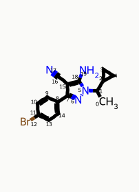 CC(C1CC1)n1nc(-c2ccc(Br)cc2)c(C#N)c1N